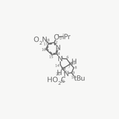 CC(C)Oc1nc(N2C[C@H]3CC(C(C)(C)C)N(C(=O)O)[C@H]3C2)ccc1[N+](=O)[O-]